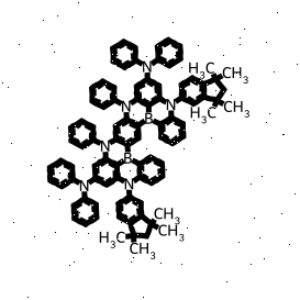 CC1(C)CC(C)(C)c2cc(N3c4ccccc4B4c5cc6c(cc5N(c5ccccc5)c5cc(N(c7ccccc7)c7ccccc7)cc3c54)N(c3ccccc3)c3cc(N(c4ccccc4)c4ccccc4)cc4c3B6c3ccccc3N4c3ccc4c(c3)C(C)(C)CC4(C)C)ccc21